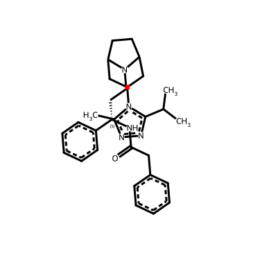 Cc1nnc(C(C)C)n1C1CC2CCC(C1)N2CC[C@H](NC(=O)Cc1ccccc1)c1ccccc1